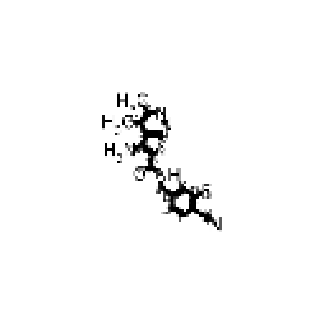 Cc1nnc2sc(C(=O)NCc3ccc(C#N)c(F)c3)c(N)c2c1C